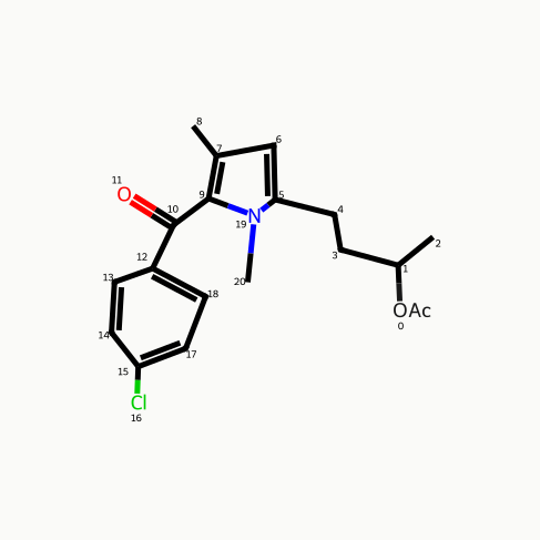 CC(=O)OC(C)CCc1cc(C)c(C(=O)c2ccc(Cl)cc2)n1C